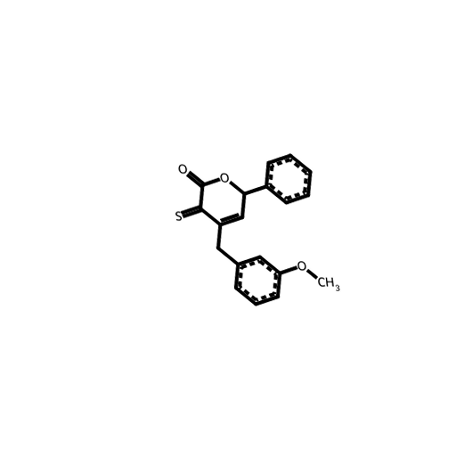 COc1cccc(CC2=CC(c3ccccc3)OC(=O)C2=S)c1